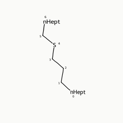 CCCCCCCCCCSCCCCCCCC